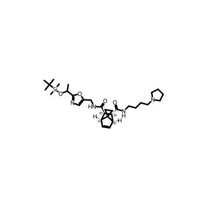 CC(O[Si](C)(C)C(C)(C)C)c1ncc(CNC(=O)[C@H]2[C@H](C(=O)NCCCCN3CCCC3)[C@H]3C=C[C@@H]2C32CC2)o1